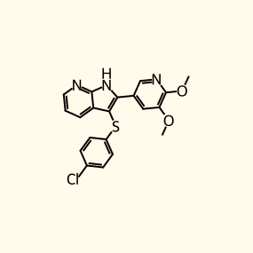 COc1cc(-c2[nH]c3ncccc3c2Sc2ccc(Cl)cc2)cnc1OC